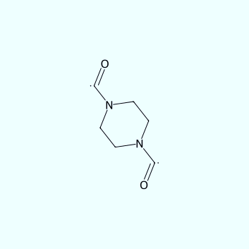 O=[C]N1CCN([C]=O)CC1